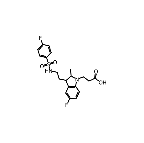 CC1C(CCNS(=O)(=O)c2ccc(F)cc2)c2cc(F)ccc2N1CCC(=O)O